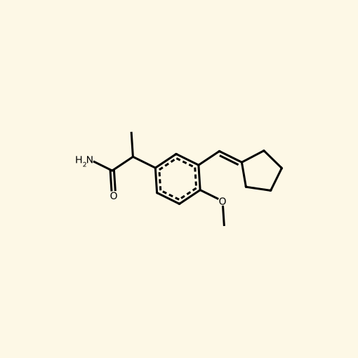 COc1ccc(C(C)C(N)=O)cc1C=C1CCCC1